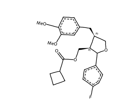 COc1ccc(C[C@H]2COC(c3ccc(F)cc3)[C@H]2COC(=O)C2CCC2)cc1OC